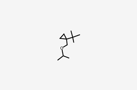 CC(C)OCC1(C(C)(C)C)CC1